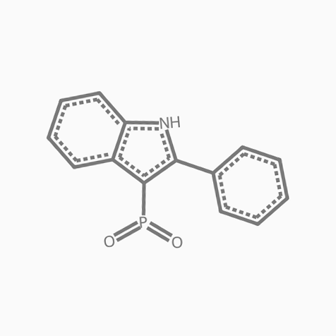 O=P(=O)c1c(-c2ccccc2)[nH]c2ccccc12